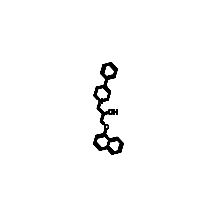 OC(COc1cccc2ccccc12)CN1CC=C(c2ccccc2)CC1